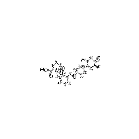 O=C(O)[C@H]1CCCS(=O)(=O)N1Cc1cccc(COc2ccc(-c3cc(F)c(F)cc3F)cc2)c1